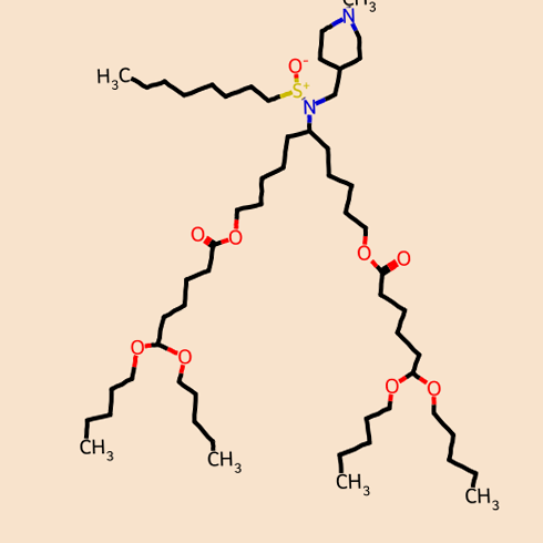 CCCCCCCC[S+]([O-])N(CC1CCN(C)CC1)C(CCCCCOC(=O)CCCCC(OCCCCC)OCCCCC)CCCCCOC(=O)CCCCC(OCCCCC)OCCCCC